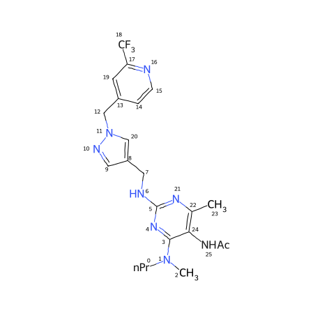 CCCN(C)c1nc(NCc2cnn(Cc3ccnc(C(F)(F)F)c3)c2)nc(C)c1NC(C)=O